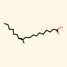 CCCCCCC=C(C)CCCCCCCCCC(=O)O